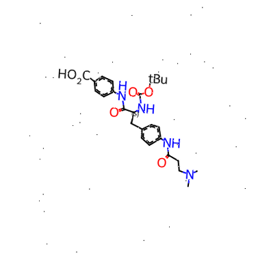 CN(C)CCC(=O)Nc1ccc(C[C@H](NC(=O)OC(C)(C)C)C(=O)Nc2ccc(C(=O)O)cc2)cc1